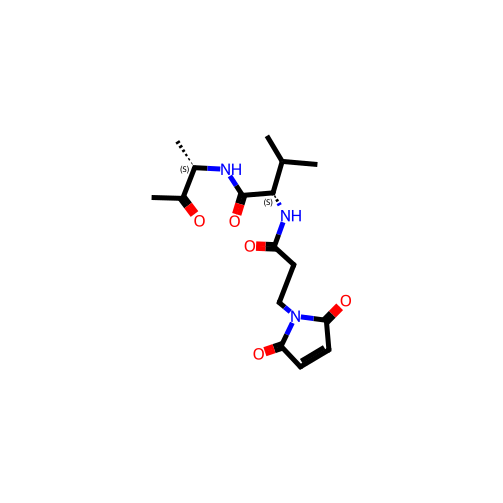 CC(=O)[C@H](C)NC(=O)[C@@H](NC(=O)CCN1C(=O)C=CC1=O)C(C)C